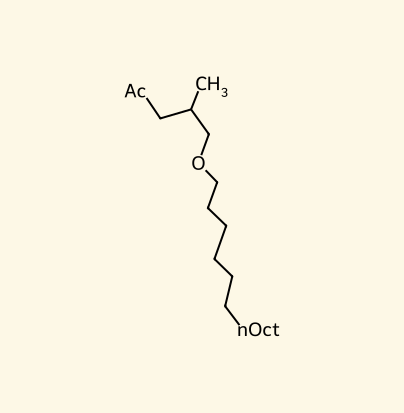 CCCCCCCCCCCCCCOCC(C)CC(C)=O